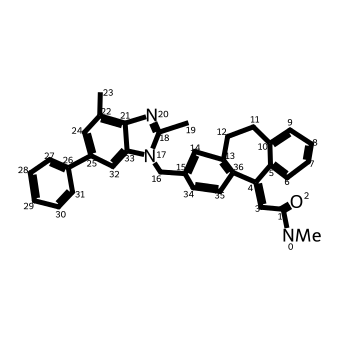 CNC(=O)/C=C1\c2ccccc2CCc2cc(Cn3c(C)nc4c(C)cc(-c5ccccc5)cc43)ccc21